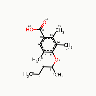 CCCC(C)Oc1c(C)cc(C(=O)O)c(C)c1C